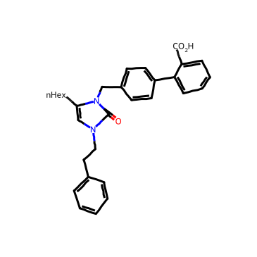 CCCCCCc1cn(CCc2ccccc2)c(=O)n1Cc1ccc(-c2ccccc2C(=O)O)cc1